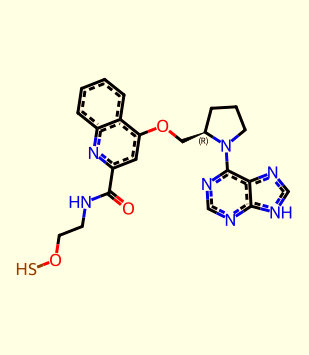 O=C(NCCOS)c1cc(OC[C@H]2CCCN2c2ncnc3[nH]cnc23)c2ccccc2n1